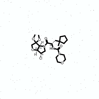 COC1(OC)CO[C@H]2[C@@H]1N(C(=O)[C@H](CC1(C)CCCC1)NC(=O)N1CCOCC1)C[C@@H]2Cl